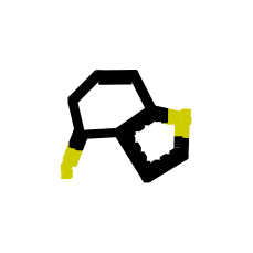 S=C1CC=Cc2sccc21